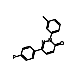 Cc1cccc(-n2nc(-c3ccc(F)cc3)ccc2=O)c1